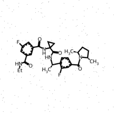 CCNC(=O)c1cc(F)cc(C(=O)NC2(C(=O)N[C@H](C)c3ccc(C(=O)N4[C@H](C)CC[C@@H]4C)cc3F)CC2)c1